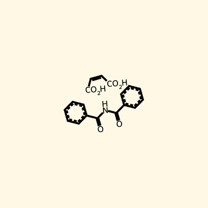 O=C(NC(=O)c1ccccc1)c1ccccc1.O=C(O)/C=C\C(=O)O